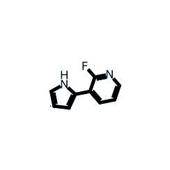 Fc1ncccc1-c1c[c]c[nH]1